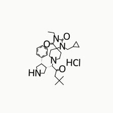 CCN1C(=O)N(CC2CC2)C2(CCN(C(C(=O)CC(C)(C)C)[C@@H]3CNC[C@@H]3c3ccccc3)CC2)C1=O.Cl